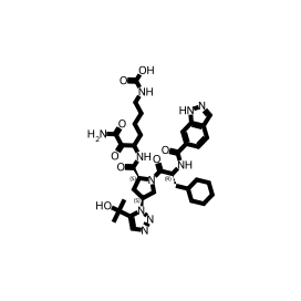 CC(C)(O)c1cnnn1[C@H]1C[C@@H](C(=O)NC(CCCCNC(=O)O)C(=O)C(N)=O)N(C(=O)[C@@H](CC2CCCCC2)NC(=O)c2ccc3cn[nH]c3c2)C1